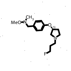 CON(C)Cc1ccc(O[C@H]2CCN(CCCF)C2)cc1